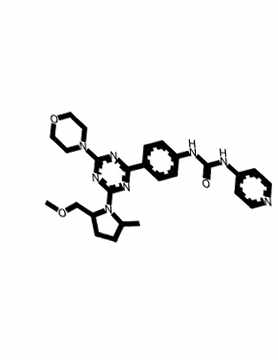 COCC1CCC(C)N1c1nc(-c2ccc(NC(=O)Nc3ccncc3)cc2)nc(N2CCOCC2)n1